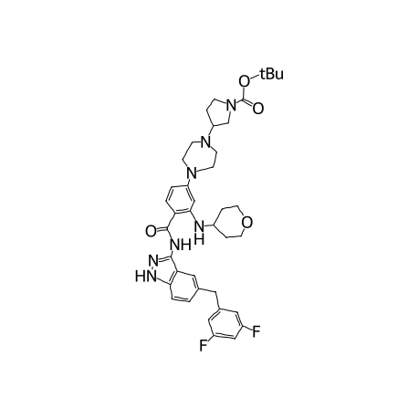 CC(C)(C)OC(=O)N1CCC(N2CCN(c3ccc(C(=O)Nc4n[nH]c5ccc(Cc6cc(F)cc(F)c6)cc45)c(NC4CCOCC4)c3)CC2)C1